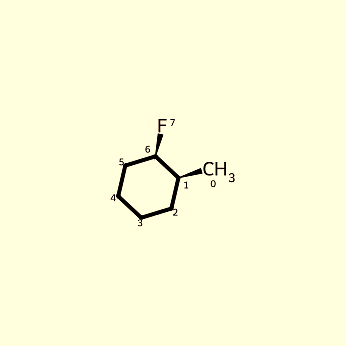 C[C@H]1CCCC[C@H]1F